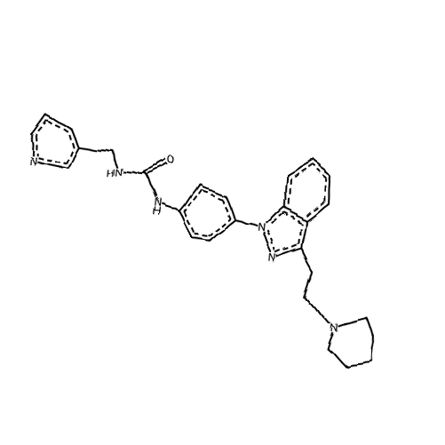 O=C(NCc1cccnc1)Nc1ccc(-n2nc(CCN3CCCCC3)c3ccccc32)cc1